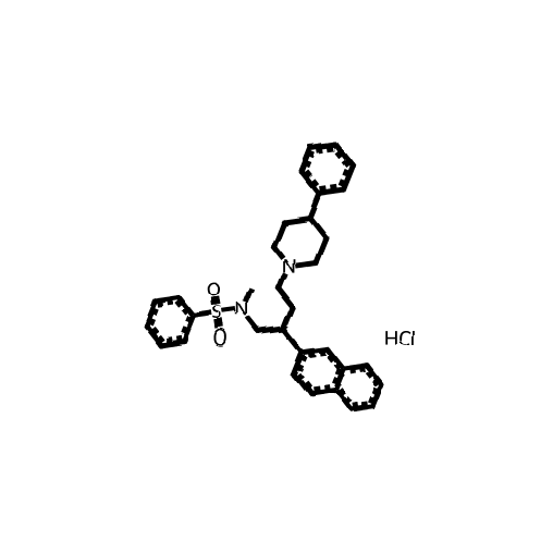 CN(CC(CCN1CCC(c2ccccc2)CC1)c1ccc2ccccc2c1)S(=O)(=O)c1ccccc1.Cl